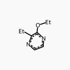 CCOc1nccnc1CC